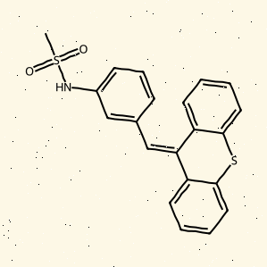 CS(=O)(=O)Nc1cccc(C=C2c3ccccc3Sc3ccccc32)c1